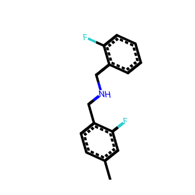 Cc1ccc(CNCc2ccccc2F)c(F)c1